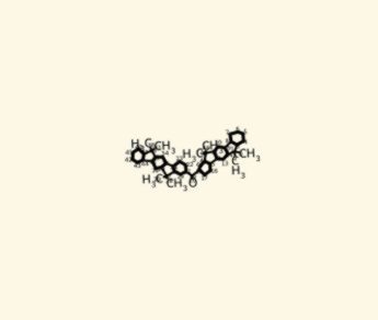 CC1(C)c2ccccc2-c2cc3c(cc21)-c1ccc(C(=O)c2ccc4c(c2)C(C)(C)c2cc5c(cc2-4)C(C)(C)c2ccccc2-5)cc1C3(C)C